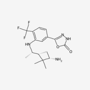 C[C@H](Nc1cc(-c2n[nH]c(=O)o2)ccc1C(F)(F)F)[C@@H]1C[C@H](N)C1(C)C